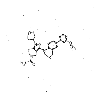 COc1cc(-c2ccc3c(c2)CCCN3c2nn(C3CCOCC3)c3c2CN(C(C)=O)CC3)ccn1